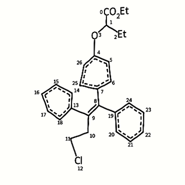 CCOC(=O)C(CC)Oc1ccc(C(=C(CCCl)c2ccccc2)c2ccccc2)cc1